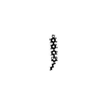 C=CCCC[C@H]1CO[C@H]([C@H]2CC[C@H](c3ccc(-c4ccc(Cl)cc4)cc3)CC2)OC1